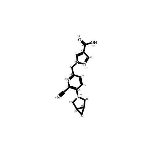 N#Cc1nc(Cn2cc(C(=O)O)cn2)ccc1N1CC2CC2C1